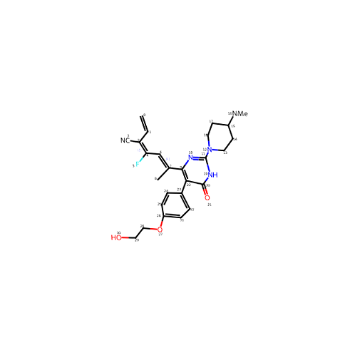 C=C/C(C#N)=C(F)\C=C(/C)c1nc(N2CCC(NC)CC2)[nH]c(=O)c1-c1ccc(OCCO)cc1